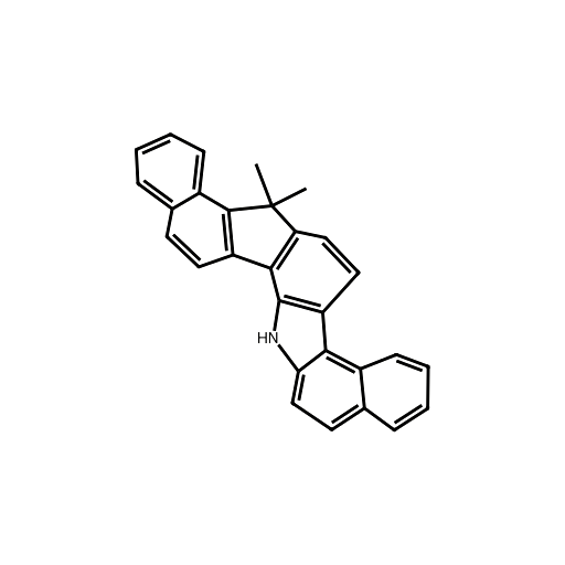 CC1(C)c2ccc3c([nH]c4ccc5ccccc5c43)c2-c2ccc3ccccc3c21